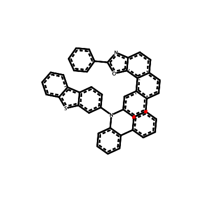 c1ccc(-c2nc3ccc4ccc5ccc(N(c6ccc7c(c6)sc6ccccc67)c6ccccc6-c6ccccc6)cc5c4c3o2)cc1